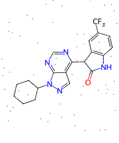 O=C1Nc2ccc(C(F)(F)F)cc2C1c1ncnc2c1cnn2C1CCCCC1